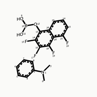 CN(C)c1ccccc1.OB(O)Oc1c(F)c(F)c(F)c2c(F)cccc12